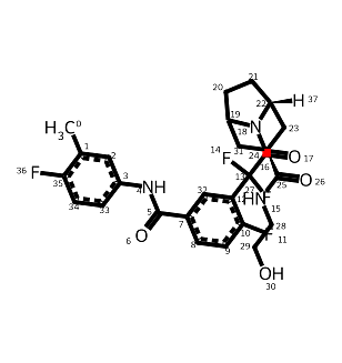 Cc1cc(NC(=O)c2ccc(F)c(C(F)(F)C(=O)N3C4CC[C@@H]3C[C@@H](C(=O)NCCO)C4)c2)ccc1F